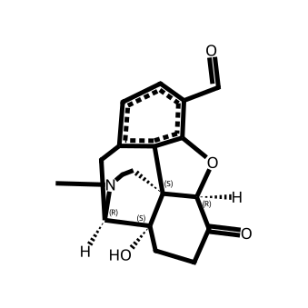 CN1CC[C@]23c4c5ccc(C=O)c4O[C@H]2C(=O)CC[C@@]3(O)[C@H]1C5